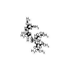 COC(=O)N[C@H](CS[P@](=O)(N[C@H](C)C(=O)OC(C)C)OC[C@H]1O[C@@H](n2cnc3c(OC)nc(N)nc32)[C@](C)(O)[C@@H]1O)C(=O)OC(C)C